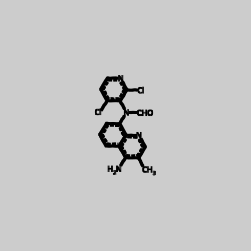 Cc1cnc2c(N(C=O)c3c(Cl)ccnc3Cl)cccc2c1N